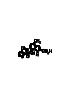 CCc1ccsc1S(=O)(=O)Nc1ccc(C)c2cc(C(=O)O)[nH]c12